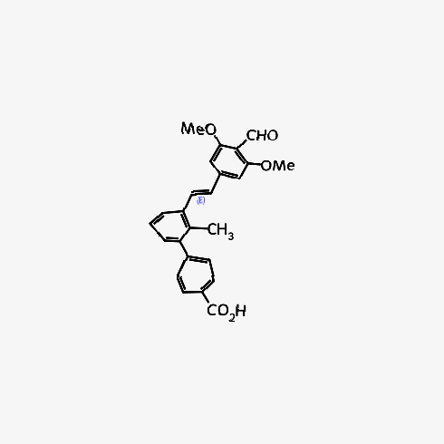 COc1cc(/C=C/c2cccc(-c3ccc(C(=O)O)cc3)c2C)cc(OC)c1C=O